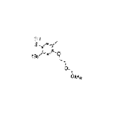 COCOCCOc1cc(C(C)(C)C)c(SS)cc1C